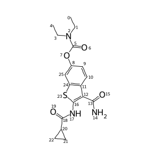 CCN(CC)C(=O)Oc1ccc2c(C(N)=O)c(NC(=O)C3CC3)sc2c1